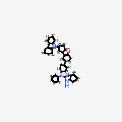 C1=CC2NC3N(c4ccccc4)C4CCC(C5=CC6=C(CC5)OC5C=CC(N7C8=C(CCCC8)C8C=CC=CC87)=CC65)=CC4N3C2C=C1